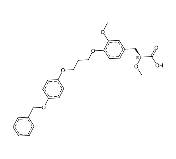 COc1cc(C[C@H](OC)C(=O)O)ccc1OCCCOc1ccc(OCc2ccccc2)cc1